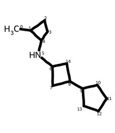 CC1CCC1NC1CC(C2CCCC2)C1